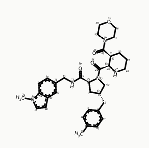 Cc1ccc(C[C@@H]2C[C@@H](C(=O)NCc3ccc4c(ccn4C)c3)N(C(=O)[C@@H]3NCCC[C@@H]3C(=O)N3CCOCC3)C2)cc1